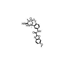 COc1ccc2nc(C(=O)Nc3ccc(F)c([C@]4(C)CS(=O)(=O)N(C)C(=N)N4)c3)oc2c1